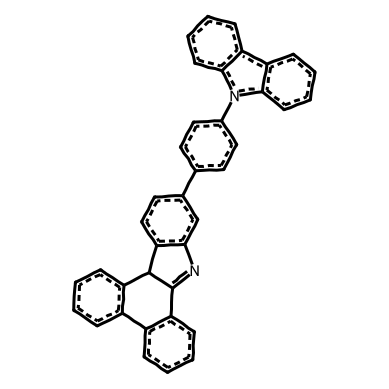 c1ccc2c(c1)C1=Nc3cc(-c4ccc(-n5c6ccccc6c6ccccc65)cc4)ccc3C1c1ccccc1-2